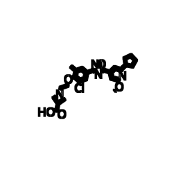 COc1cc(-c2nc(-c3cc(C)c(OCCN4CC(C(=O)O)C4)c(Cl)c3)no2)cc(C2CCCC2)n1